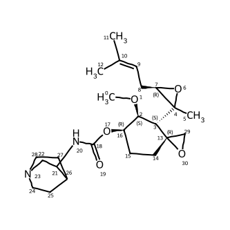 CO[C@H]1[C@H](C2(C)O[C@@H]2CC=C(C)C)[C@]2(CC[C@H]1OC(=O)NC1CN3CCC1CC3)CO2